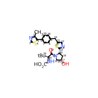 Cc1ncsc1-c1ccc(Cc2cnc([C@@H]3C[C@@H](O)CN3C(=O)[C@@H](NC(=O)O)C(C)(C)C)s2)cc1